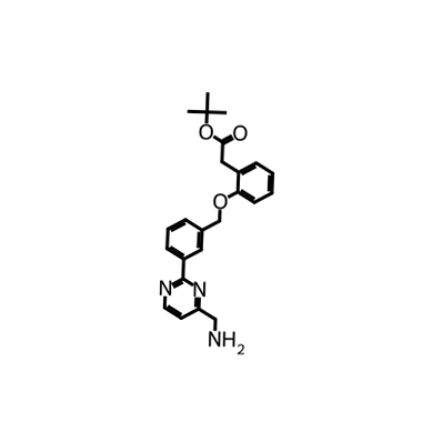 CC(C)(C)OC(=O)Cc1ccccc1OCc1cccc(-c2nccc(CN)n2)c1